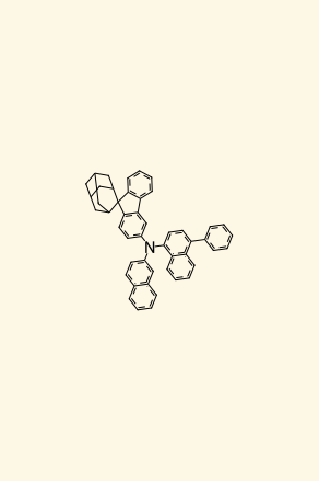 c1ccc(-c2ccc(N(c3ccc4c(c3)-c3ccccc3C43C4CC5CC(C4)CC3C5)c3ccc4ccccc4c3)c3ccccc23)cc1